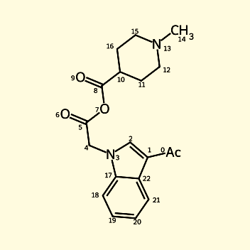 CC(=O)c1cn(CC(=O)OC(=O)C2CCN(C)CC2)c2ccccc12